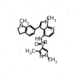 Cc1nn(C)cc1S(=O)(=O)Nc1ccnc2c1c(-c1ccc3c(c1)N(C)CC3)cn2C